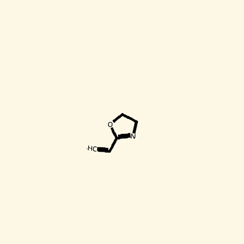 [CH]=CC1=NCCO1